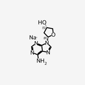 Nc1ncnc2c1ncn2[C@H]1C[C@H](O)CO1.[Na]